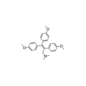 COc1ccc(C(CN(C)C)=C(c2ccc(OC)cc2)c2ccc(OC)cc2)cc1